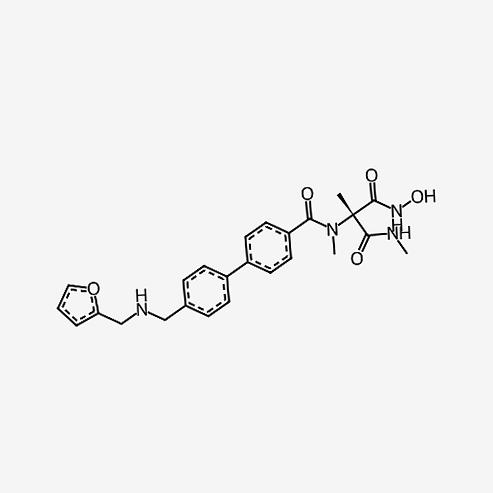 CNC(=O)[C@@](C)(C(=O)NO)N(C)C(=O)c1ccc(-c2ccc(CNCc3ccco3)cc2)cc1